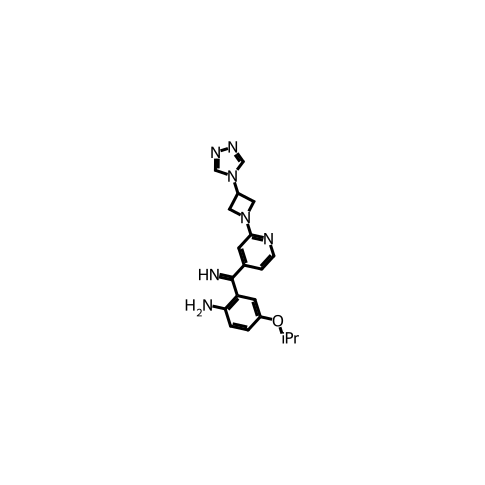 CC(C)Oc1ccc(N)c(C(=N)c2ccnc(N3CC(n4cnnc4)C3)c2)c1